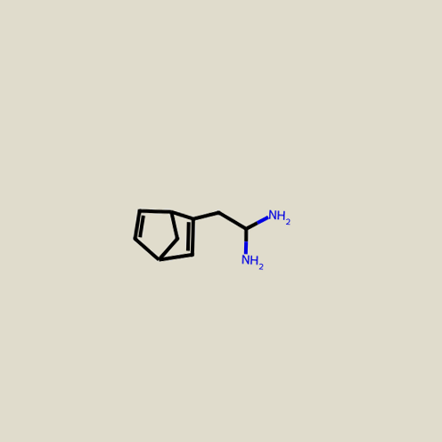 NC(N)CC1=CC2C=CC1C2